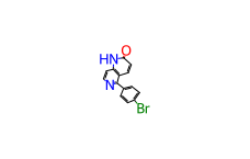 O=c1ccc2c(-c3ccc(Br)cc3)nccc2[nH]1